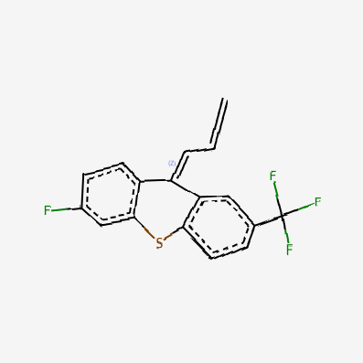 C=C/C=C1/c2ccc(F)cc2Sc2ccc(C(F)(F)F)cc21